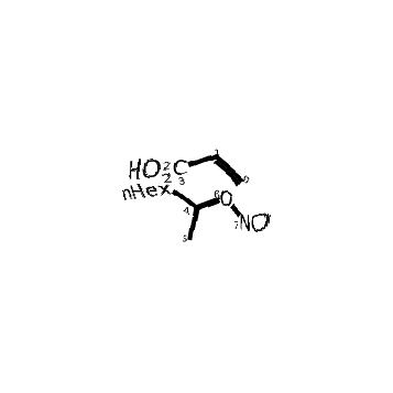 C=CC(=O)O.CCCCCCC(C)ON=O